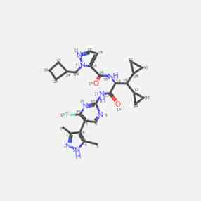 Cc1n[nH]c(C)c1-c1cnc(NC(=O)[C@@H](NC(=O)c2ccnn2CC2CCC2)C(C2CC2)C2CC2)nc1F